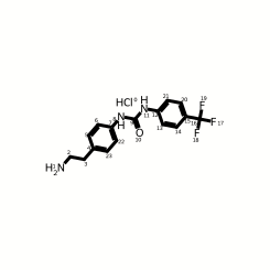 Cl.NCCc1ccc(NC(=O)Nc2ccc(C(F)(F)F)cc2)cc1